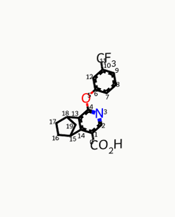 O=C(O)c1cnc(Oc2cccc(C(F)(F)F)c2)c2c1C1CCC2C1